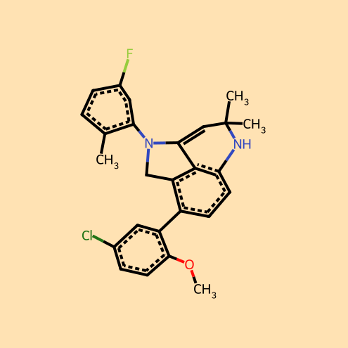 COc1ccc(Cl)cc1-c1ccc2c3c1CN(c1cc(F)ccc1C)C3=CC(C)(C)N2